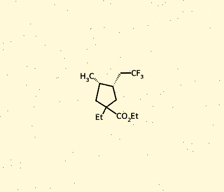 CCOC(=O)C1(CC)C[C@@H](CC(F)(F)F)[C@@H](C)C1